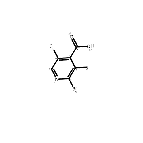 Cc1c(Br)ncc(Cl)c1C(=O)O